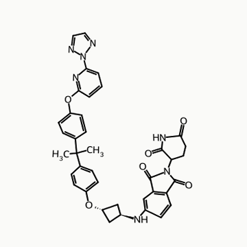 CC(C)(c1ccc(Oc2cccc(-n3nccn3)n2)cc1)c1ccc(O[C@H]2C[C@H](Nc3ccc4c(c3)C(=O)N(C3CCC(=O)NC3=O)C4=O)C2)cc1